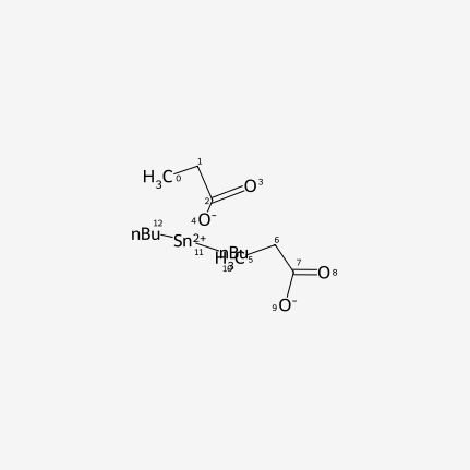 CCC(=O)[O-].CCC(=O)[O-].CCC[CH2][Sn+2][CH2]CCC